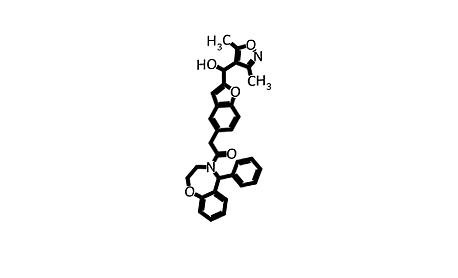 Cc1noc(C)c1C(O)c1cc2cc(CC(=O)N3CCOc4ccccc4C3c3ccccc3)ccc2o1